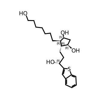 OCCCCCCC[C@@H]1[C@@H](CC[C@@H](O)c2cc3ccccc3s2)[C@H](O)C[C@@H]1O